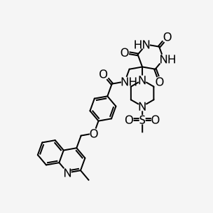 Cc1cc(COc2ccc(C(=O)NCC3(N4CCN(S(C)(=O)=O)CC4)C(=O)NC(=O)NC3=O)cc2)c2ccccc2n1